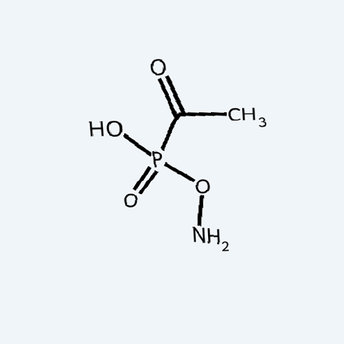 CC(=O)P(=O)(O)ON